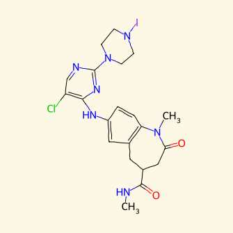 CNC(=O)C1CC(=O)N(C)c2ccc(Nc3nc(N4CCN(I)CC4)ncc3Cl)cc2C1